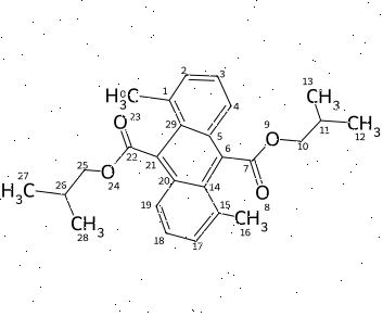 Cc1cccc2c(C(=O)OCC(C)C)c3c(C)cccc3c(C(=O)OCC(C)C)c12